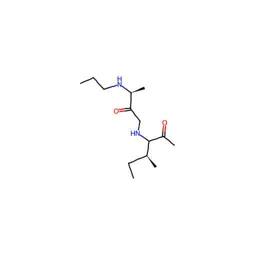 CCCN[C@@H](C)C(=O)CNC(C(C)=O)[C@@H](C)CC